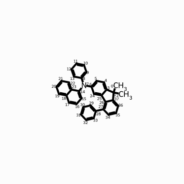 CC1(C)c2ccc(N(c3ccccc3)c3cccc4ccccc34)cc2-c2c(-c3ccccc3)cccc21